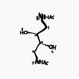 CC(=O)NC[C@@H](O)[C@H](O)CNC(C)=O